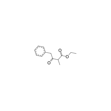 CCOC(=O)C(C)C(=O)Cc1ccccc1